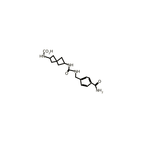 NC(=O)c1ccc(CNC(=O)NC2CC3(CC(NC(=O)O)C3)C2)cc1